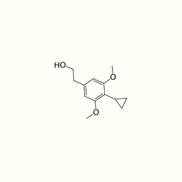 COc1cc(CCO)cc(OC)c1C1CC1